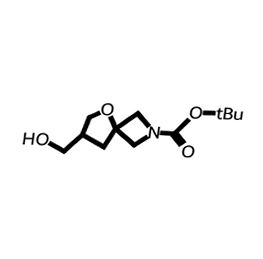 CC(C)(C)OC(=O)N1CC2(CC(CO)CO2)C1